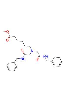 COC(=O)CCCCCN(CC(=O)NCc1ccccc1)CC(=O)NCc1ccccc1